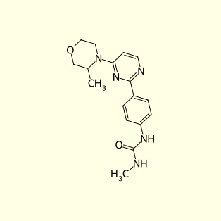 CNC(=O)Nc1ccc(-c2nccc(N3CCOCC3C)n2)cc1